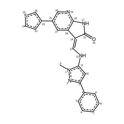 Cn1nc(-c2ccccc2)cc1NC=C1C(=O)Nc2ncc(-c3ccsc3)cc21